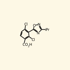 CC(C)c1noc(-c2c(Cl)ccc(C(=O)O)c2Cl)n1